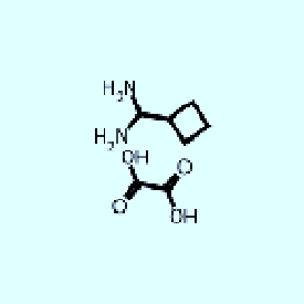 NC(N)C1CCC1.O=C(O)C(=O)O